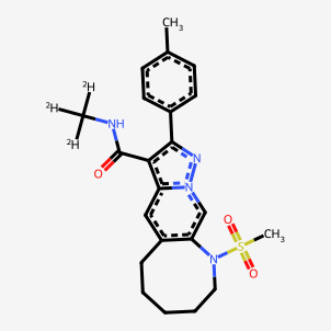 [2H]C([2H])([2H])NC(=O)c1c(-c2ccc(C)cc2)nn2cc3c(cc12)CCCCCN3S(C)(=O)=O